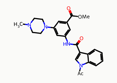 COC(=O)c1cc(NC(=O)c2cn(C(C)=O)c3ccccc23)cc(N2CCN(C)CC2)c1